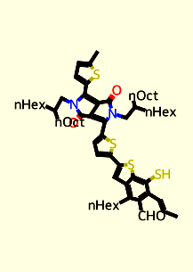 CC=Cc1c(C=O)c(CCCCCC)c2cc(-c3ccc(C4=C5C(=O)N(CC(CCCCCC)CCCCCCCC)C(c6ccc(C)s6)=C5C(=O)N4CC(CCCCCC)CCCCCCCC)s3)sc2c1S